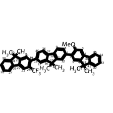 COc1cc2c(cc1-c1ccc3c(c1)C(C)(C)c1cc(-c4cc5c(cc4C(F)(F)F)-c4ccccc4C5(C)C)ccc1-3)C(C)(C)c1ccccc1-2